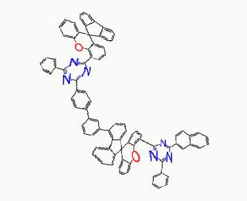 c1ccc(-c2nc(-c3ccc(-c4cccc(-c5cccc6c5-c5ccccc5C65c6ccccc6Oc6c(-c7nc(-c8ccccc8)nc(-c8ccc9ccccc9c8)n7)cccc65)c4)cc3)nc(-c3cccc4c3Oc3ccccc3C43c4ccccc4-c4ccccc43)n2)cc1